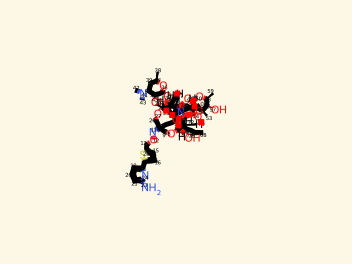 CCCN1C[C@H](C)[C@H]2OC/C(=N\OCc3ccc(-c4cccc(N)n4)s3)CO[C@](C)(C[C@H]1C)[C@H](O[C@@H]1O[C@H](C)C[C@H](N(C)C)[C@H]1O)[C@@H](C)[C@H](O[C@H]1C[C@@](C)(OC)[C@@H](O)[C@H](C)O1)[C@@H](C)C(=O)O[C@H](CC)[C@@]2(C)O